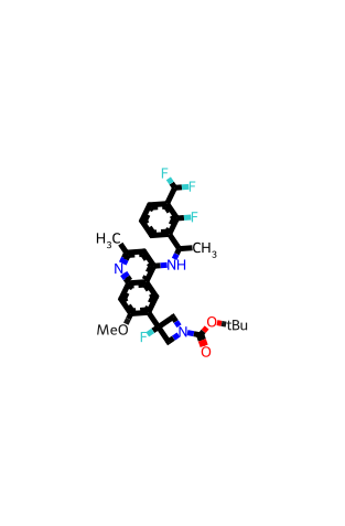 COc1cc2nc(C)cc(NC(C)c3cccc(C(F)F)c3F)c2cc1C1(F)CN(C(=O)OC(C)(C)C)C1